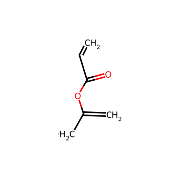 [CH2]C(=C)OC(=O)C=C